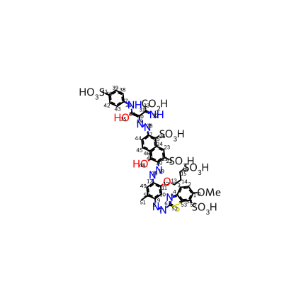 COc1ccc2nc(/N=N\c3cc(OCCCS(=O)(=O)O)c(N=Nc4c(S(=O)(=O)O)cc5c(S(=O)(=O)O)c(N=N/C(C(=N)C(=O)O)=C(\O)Nc6ccc(S(=O)(=O)O)cc6)ccc5c4O)cc3C)sc2c1S(=O)(=O)O